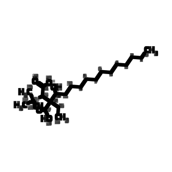 CCCCCCCCCCCCC(O)C(CC)(C(=O)O)C(C(=O)[O-])[N+](C)(C)C